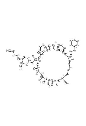 C#C[C@@H]1/C=C/C=C/C=C(\C)C(OCCc2ccccc2)C[C@@H]2CC[C@@H](C)[C@@](O)(O2)C(=O)C(=O)N2CCCCC2C(=O)O[C@H]([C@H](C)C[C@@H]2CC[C@@H](OCCCO)[C@H](OC)C2)CC(=O)[C@H](C)/C=C(\C)[C@@H](O)[C@@H](OC)C(=O)[C@H](C)C1